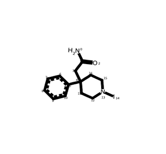 NC(=O)CC1(c2ccccc2)CCN(I)CC1